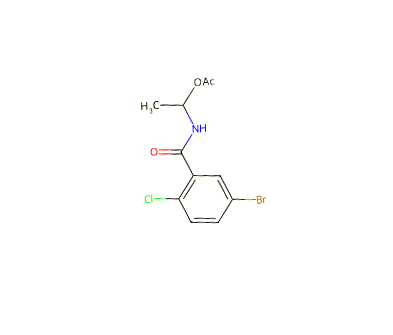 CC(=O)OC(C)NC(=O)c1cc(Br)ccc1Cl